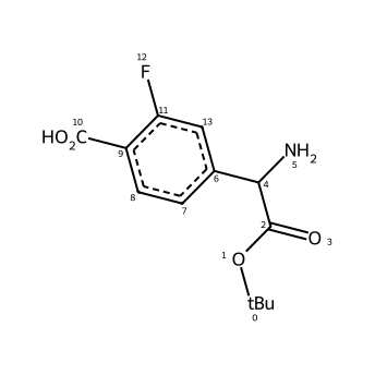 CC(C)(C)OC(=O)C(N)c1ccc(C(=O)O)c(F)c1